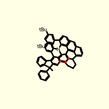 CC(C)(C)c1cc(-c2ccccc2N(c2ccccc2-c2cccc3c2-c2ccccc2C3(C)c2ccccc2)c2ccccc2-c2cccc3cccc(C4CCCCC4)c23)cc(C(C)(C)C)c1